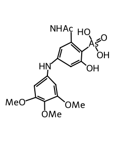 COc1cc(Nc2cc(O)c([As](=O)(O)O)c(NC(C)=O)c2)cc(OC)c1OC